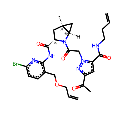 C=CCCNC(=O)c1cc(C(C)=O)nn1CC(=O)N1[C@H](C(=O)Nc2nc(Br)ccc2COCC=C)C[C@@]2(C)C[C@@H]12